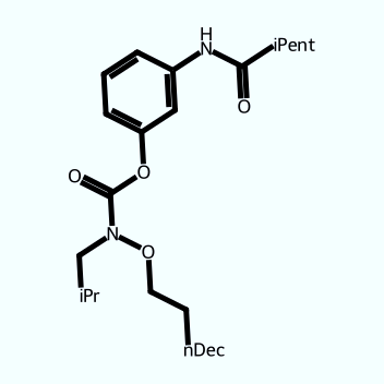 CCCCCCCCCCCCON(CC(C)C)C(=O)Oc1cccc(NC(=O)C(C)CCC)c1